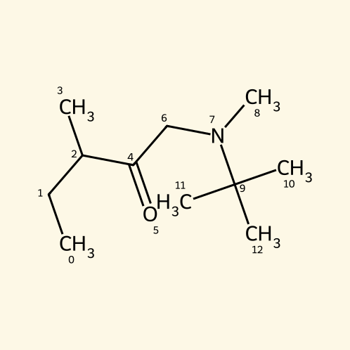 CCC(C)C(=O)CN(C)C(C)(C)C